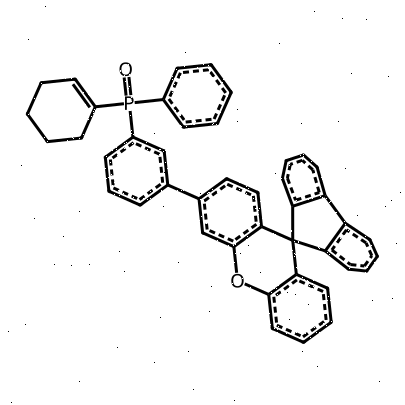 O=P(C1=CCCCC1)(c1ccccc1)c1cccc(-c2ccc3c(c2)Oc2ccccc2C32c3ccccc3-c3ccccc32)c1